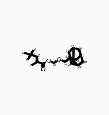 CC(CC(C)(C)C)C(=O)OCOCC12CC3CC(CC(C3)C1)C2